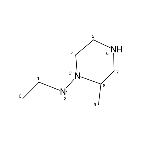 CC[N]N1CCNCC1C